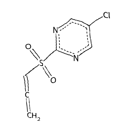 C=C=CS(=O)(=O)c1ncc(Cl)cn1